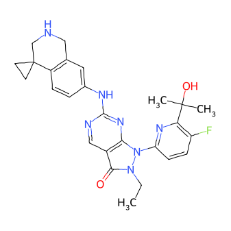 CCn1c(=O)c2cnc(Nc3ccc4c(c3)CNCC43CC3)nc2n1-c1ccc(F)c(C(C)(C)O)n1